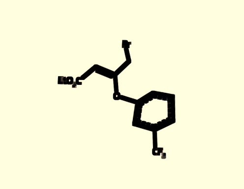 CCOC(=O)/C=C(/CBr)Oc1cccc(C(F)(F)F)c1